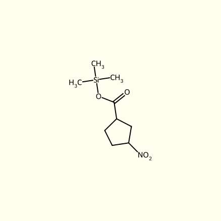 C[Si](C)(C)OC(=O)C1CCC([N+](=O)[O-])C1